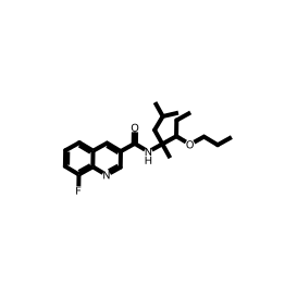 CCCOC(CC)C(C)(CC(C)C)NC(=O)c1cnc2c(F)cccc2c1